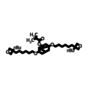 C=C(C)C(=O)OC12CC3CC(OCCCCCCC4(CCCC)COC4)(CC(OCCCCCCC4(CCCC)COC4)(C3)C1)C2